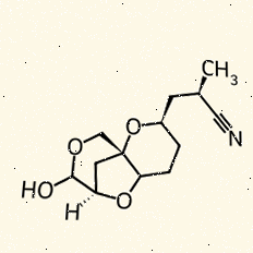 C[C@@H](C#N)C[C@H]1CCC2O[C@@H]3C[C@]2(COC3O)O1